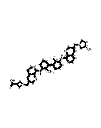 Cc1c(Nc2nccc3cc(CN4CC(C(=O)O)C4)cnc23)cccc1-c1cccc(Nc2nccc3cc(CN4CC[C@@H](O)C4)cnc23)c1Cl